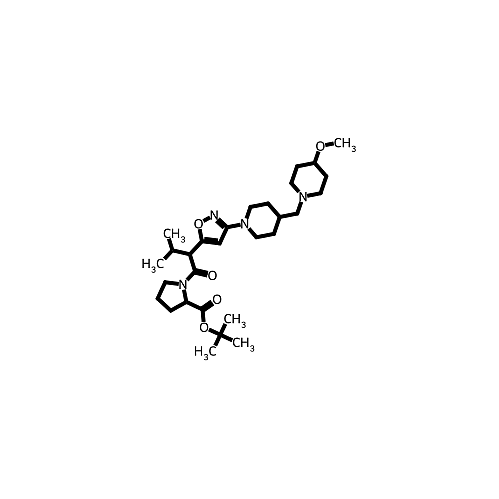 COC1CCN(CC2CCN(c3cc(C(C(=O)N4CCCC4C(=O)OC(C)(C)C)C(C)C)on3)CC2)CC1